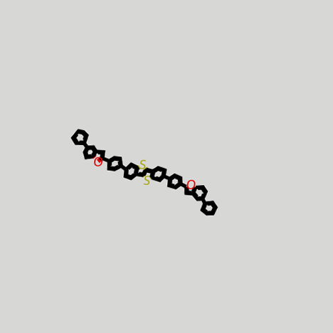 c1ccc(-c2ccc3oc(-c4ccc(-c5ccc6c(c5)sc5c7ccc(-c8ccc(-c9cc%10cc(-c%11ccccc%11)ccc%10o9)cc8)cc7sc65)cc4)cc3c2)cc1